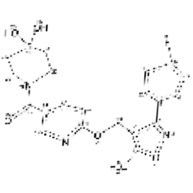 Cc1onc(-c2ccc(F)cc2)c1COc1ccc(C(=O)N2CCS(O)(O)CC2)cn1